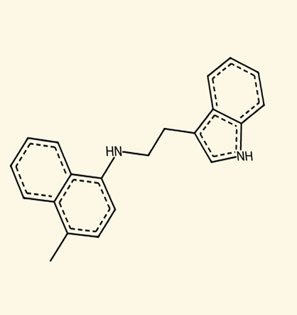 Cc1ccc(NCCc2c[nH]c3ccccc23)c2ccccc12